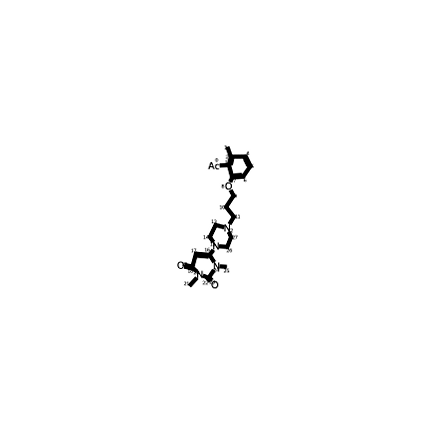 CC(=O)c1c(C)cccc1OCCCN1CCN(c2cc(=O)n(C)c(=O)n2C)CC1